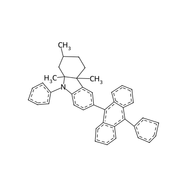 CC1CCC2(C)c3cc(-c4c5ccccc5c(-c5ccccc5)c5ccccc45)ccc3N(c3ccccc3)C2(C)C1